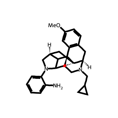 COc1ccc2c(c1)[C@]13CCN(CC4CC4)[C@H](C2)[C@]12CCC1C3[C@@H](CN1c1ccccc1N)C2